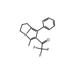 Cc1c(C(=O)C(F)(F)F)c(-c2ccccc2)c2n1CCC2